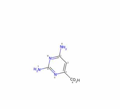 Nc1cc(C(=O)O)nc(N)n1